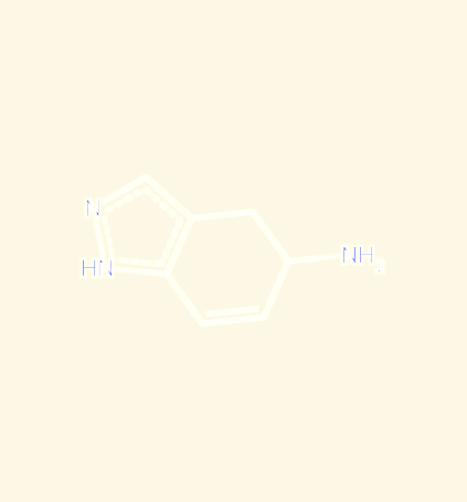 NC1C=Cc2[nH]ncc2C1